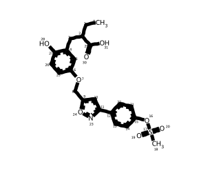 CCC(Cc1cc(OCc2cc(-c3ccc(OS(C)(=O)=O)cc3)no2)ccc1O)C(=O)O